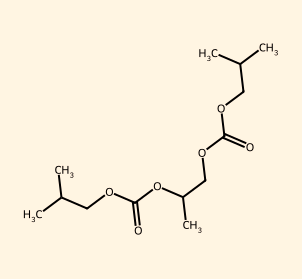 CC(C)COC(=O)OCC(C)OC(=O)OCC(C)C